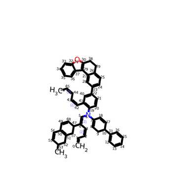 C=C/C=C\C(=C/N(C1=CCC(c2ccccc2)C=C1)c1ccc(-c2ccc3c(c2)-c2c(oc4ccccc24)CC3)cc1/C=C\C=C/C)C1C=CC2=C(CC(C)C=C2)C1